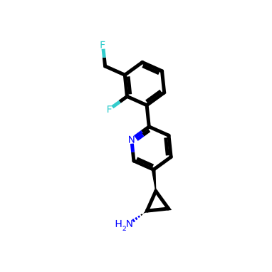 N[C@H]1C[C@@H]1c1ccc(-c2cccc(CF)c2F)nc1